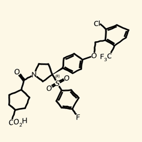 O=C(O)C1CCC(C(=O)N2CC[C@](c3ccc(OCc4c(Cl)cccc4C(F)(F)F)cc3)(S(=O)(=O)c3ccc(F)cc3)C2)CC1